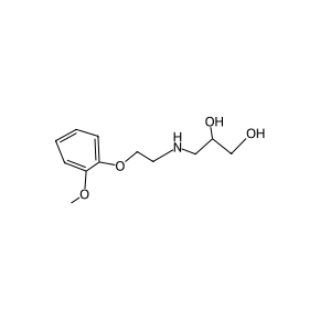 COc1ccccc1OCCNCC(O)CO